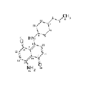 CCCC1CCC(NC2=C3C(=O)C=CC(N)=C3C(=O)C=C2)CC1